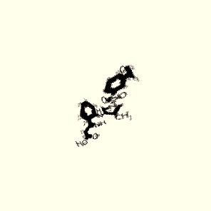 C[C@@H]1CN(S(=O)(=O)c2ccc3occc3c2)C[C@@H]1Nc1ccccc1C(=N)CC(=O)O